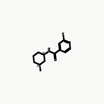 C[C@H]1CCC[C@@H](NC(=O)c2ccnc(F)c2)C1